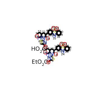 CCOC(=O)Oc1csc(NC(=O)C(CC2CCOCC2)c2ccc3c(c2)N(C)c2ccccc2S3(=O)=O)n1.CN1c2ccccc2S(=O)(=O)c2ccc(C(CC3CCOCC3)C(=O)Nc3nc(OC(=O)O)cs3)cc21